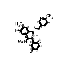 CNC(=O)[C@@H](N[C@@H](CCc1ccc(C(F)(F)F)nc1)c1ccc(F)c(C)c1)c1cc(F)ccc1F